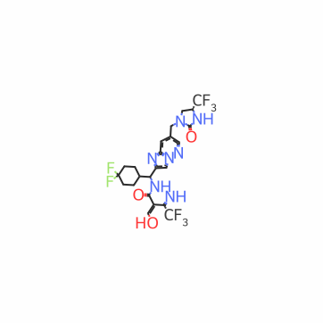 N=C(/C(=C\O)C(=O)N[C@H](c1cn2ncc(CN3C[C@@H](C(F)(F)F)NC3=O)cc2n1)C1CCC(F)(F)CC1)C(F)(F)F